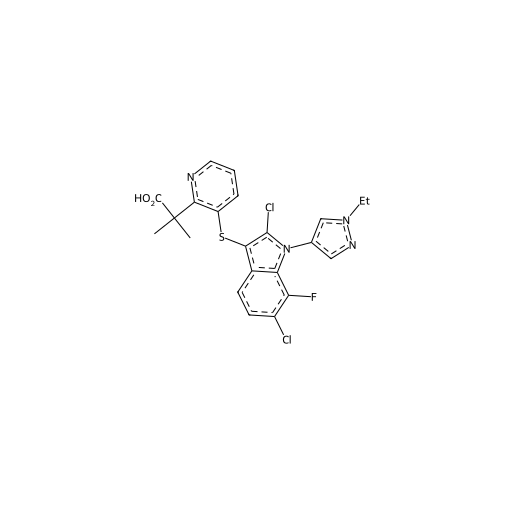 CCn1cc(-n2c(Cl)c(Sc3cccnc3C(C)(C)C(=O)O)c3ccc(Cl)c(F)c32)cn1